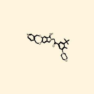 Cc1c(N2CCOCC2)cc(C(=O)CN2Cc3cc4c(cc3C2=N)OCc2cnccc2CO4)cc1C(C)(C)C